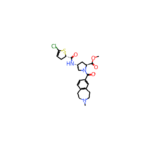 COC(=O)[C@@H]1C[C@@H](NC(=O)[C@@H]2CC=C(Cl)S2)CN1C(=O)c1ccc2c(c1)CCN(C)CC2